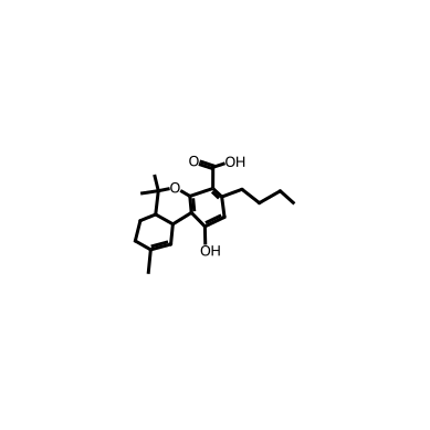 CCCCc1cc(O)c2c(c1C(=O)O)OC(C)(C)C1CCC(C)=CC21